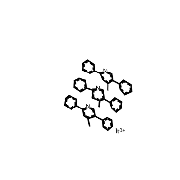 Cc1cc(-c2ccccc2)ncc1-c1ccccc1.Cc1cc(-c2ccccc2)ncc1-c1ccccc1.Cc1cc(-c2ccccc2)ncc1-c1ccccc1.[Ir+3]